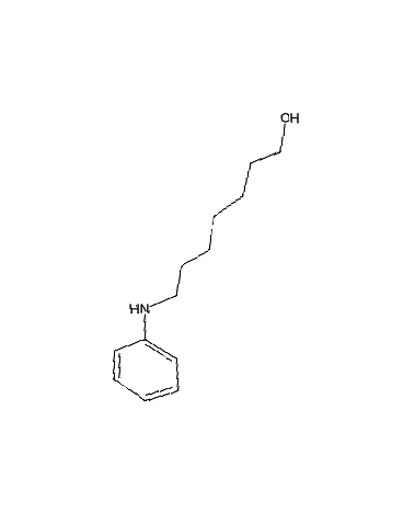 OCCCCCCCNc1ccccc1